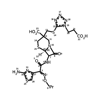 CC(C)ON=C(C(=O)NC1C(=O)N2CC(CSc3nnnn3CCC(=O)O)(C(=O)O)CS[C@H]12)c1csc(N)n1